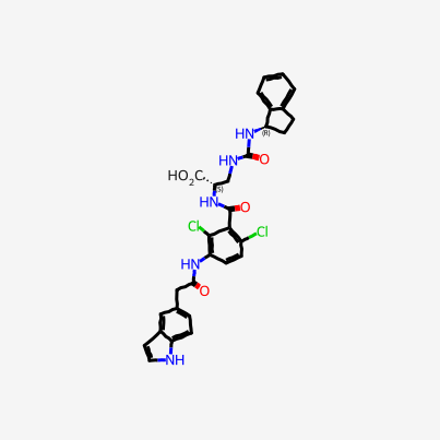 O=C(Cc1ccc2[nH]ccc2c1)Nc1ccc(Cl)c(C(=O)N[C@@H](CNC(=O)N[C@@H]2CCc3ccccc32)C(=O)O)c1Cl